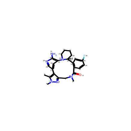 Cc1c2c(nn1C)CN(C)C(=O)c1ccc(F)cc1[C@H]1CCCCN1c1cc-2cnc1N